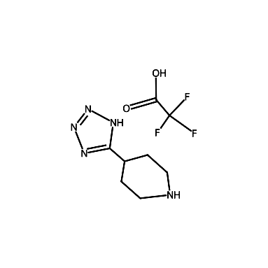 C1CC(c2nnn[nH]2)CCN1.O=C(O)C(F)(F)F